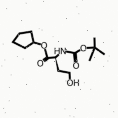 CC(C)(C)OC(=O)N[C@@H](CCO)C(=O)OC1CCCC1